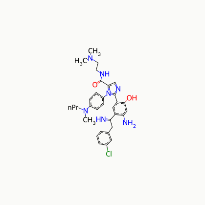 CCCN(C)c1ccc(-n2c(C(=O)NCCN(C)C)cnc2-c2cc(C(=N)Cc3cccc(Cl)c3)c(N)cc2O)cc1